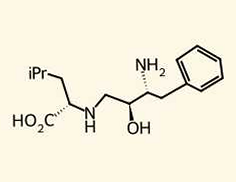 CC(C)C[C@H](NC[C@H](O)[C@H](N)Cc1ccccc1)C(=O)O